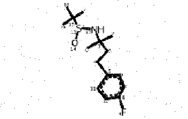 CC(C)(CCc1ccc(F)cc1)N[S+]([O-])C(C)(C)C